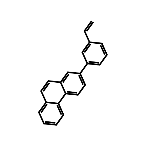 C=Cc1cccc(-c2ccc3c(ccc4ccccc43)c2)c1